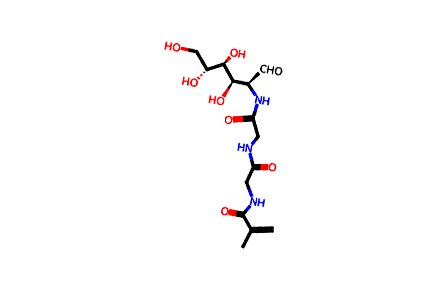 C=C(C)C(=O)NCC(=O)NCC(=O)N[C@H](C=O)[C@@H](O)[C@H](O)[C@H](O)CO